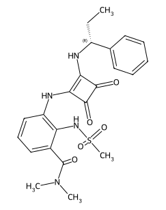 CC[C@@H](Nc1c(Nc2cccc(C(=O)N(C)C)c2NS(C)(=O)=O)c(=O)c1=O)c1ccccc1